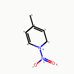 CC1=CCN([N+](=O)[O-])C=C1